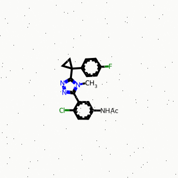 CC(=O)Nc1ccc(Cl)c(-c2nnc(C3(c4ccc(F)cc4)CC3)n2C)c1